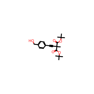 CC(C)(C)OC(=O)C(C)(C#Cc1ccc(CO)cc1)C(=O)OC(C)(C)C